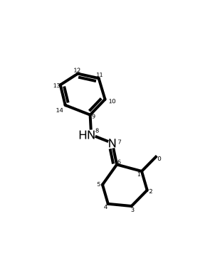 CC1CCCCC1=NNc1ccccc1